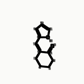 O=C1CCCCC1=Cc1ccco1